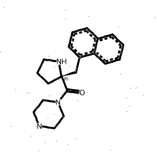 O=C(N1CC[N]CC1)[C@]1(Cc2cccc3ccccc23)CCCN1